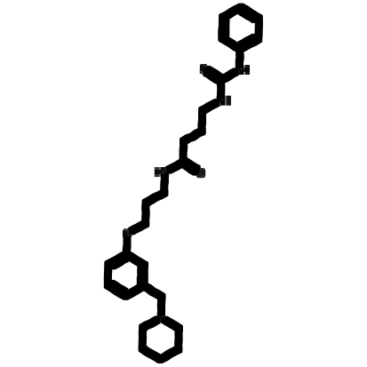 O=C(CCCNC(=S)Nc1ccccc1)NCCCOc1cccc(CN2CCCCC2)c1